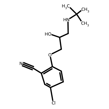 CC(C)(C)NCC(O)COc1ccc(Cl)cc1C#N